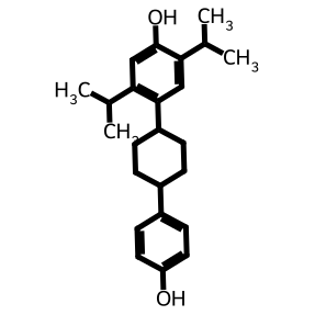 CC(C)c1cc(C2CCC(c3ccc(O)cc3)CC2)c(C(C)C)cc1O